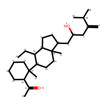 C=C(CC(O)CC1CCC2C(CC)C(C3(C)CCCCC3C(C)=O)CCC12C)C(C)C